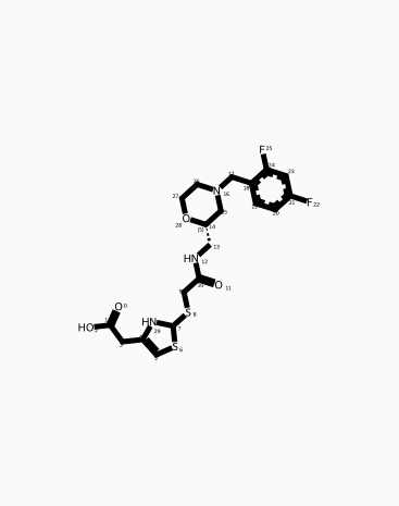 O=C(O)CC1=CSC(SCC(=O)NC[C@H]2CN(Cc3ccc(F)cc3F)CCO2)N1